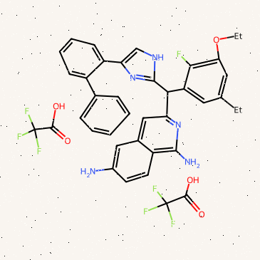 CCOc1cc(CC)cc(C(c2cc3cc(N)ccc3c(N)n2)c2nc(-c3ccccc3-c3ccccc3)c[nH]2)c1F.O=C(O)C(F)(F)F.O=C(O)C(F)(F)F